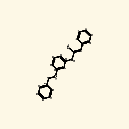 ClC(=Cc1ccccc1)Sc1cccc(OCc2ccccc2)c1